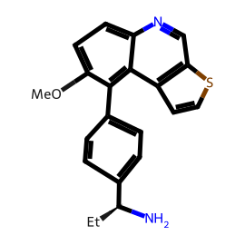 CC[C@H](N)c1ccc(-c2c(OC)ccc3ncc4sccc4c23)cc1